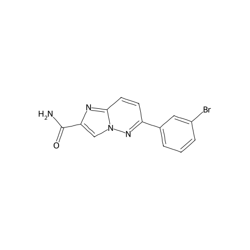 NC(=O)c1cn2nc(-c3cccc(Br)c3)ccc2n1